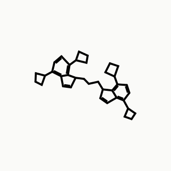 C1=CC(CCCC2C=Cc3c(C4CCC4)ccc(C4CCC4)c32)c2c(C3CCC3)ccc(C3CCC3)c21